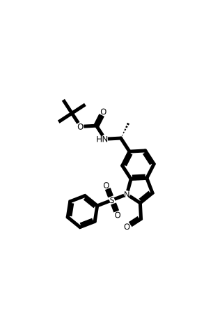 C[C@@H](NC(=O)OC(C)(C)C)c1ccc2cc(C=O)n(S(=O)(=O)c3ccccc3)c2c1